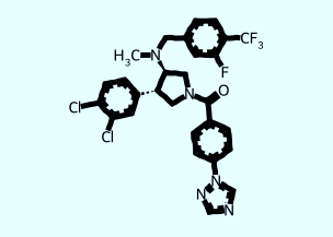 CN(Cc1ccc(C(F)(F)F)c(F)c1)[C@H]1CN(C(=O)c2ccc(-n3cncn3)cc2)C[C@@H]1c1ccc(Cl)c(Cl)c1